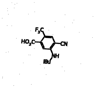 CCC(C)Nc1cc(C(=O)O)c(C(F)(F)F)cc1C#N